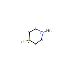 CCN1CCC(F)CC1